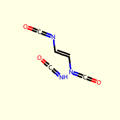 N=C=O.O=C=NC=CN=C=O